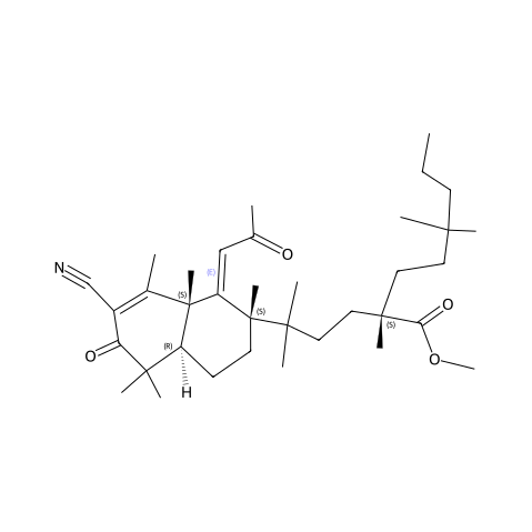 CCCC(C)(C)CC[C@@](C)(CCC(C)(C)[C@]1(C)CC[C@H]2C(C)(C)C(=O)C(C#N)=C(C)[C@]2(C)/C1=C/C(C)=O)C(=O)OC